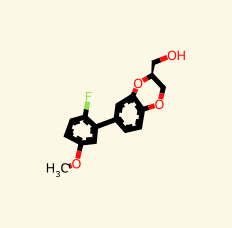 COc1ccc(F)c(-c2ccc3c(c2)O[C@@H](CO)CO3)c1